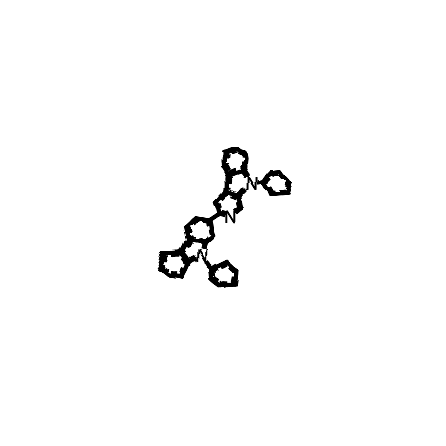 c1ccc(-n2c3ccccc3c3cc(-c4ccc5c6ccccc6n(-c6ccccc6)c5c4)ncc32)cc1